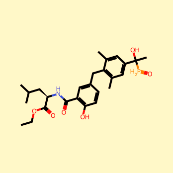 CCOC(=O)[C@@H](CC(C)C)NC(=O)c1cc(Cc2c(C)cc(C(C)(O)[PH2]=O)cc2C)ccc1O